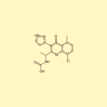 Cc1ccc(Cl)c2nc(C(C)NC(=O)O)n(-c3cc[nH]n3)c(=O)c12